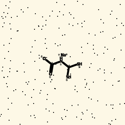 O=C([O-])NC(S)S.[Na+]